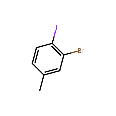 Cc1ccc(I)c(Br)c1